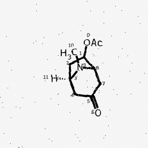 CC(=O)OC1C[C@@H]2CC(=O)CC1N2C